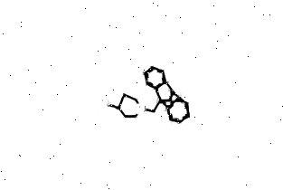 NC1CCN(CC23CC(c4ccccc42)c2ccccc23)CC1